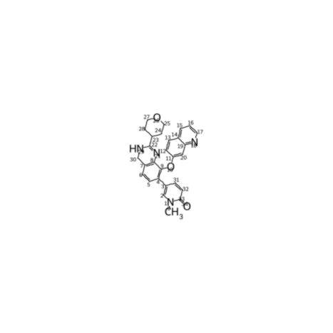 Cn1cc(-c2ccc3c(c2Oc2ccc4cccnc4c2)N=C(C2CCOCC2)NC3)ccc1=O